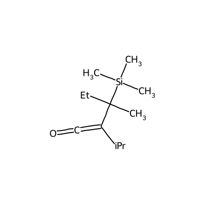 CCC(C)(C(=C=O)C(C)C)[Si](C)(C)C